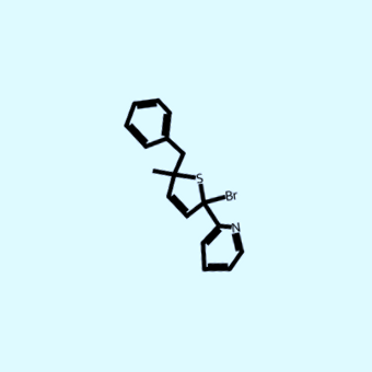 CC1(Cc2ccccc2)C=CC(Br)(c2ccccn2)S1